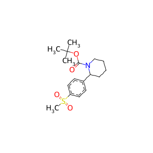 CC(C)(C)OC(=O)N1CCCCC1c1ccc(S(C)(=O)=O)cc1